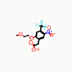 COCCOc1cc(C(F)(F)F)c([N+](=O)[O-])cc1CC(=O)O